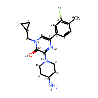 N#Cc1ccc(-c2cn(CC3CC3)c(=O)c(N3CCC(N)CC3)n2)cc1F